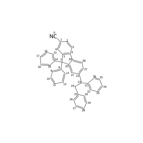 N#Cc1ccc2c(c1)C(c1ccccc1)(c1ccccc1)c1cc(C(Cc3ccccc3)c3ccccc3)ccc1-2